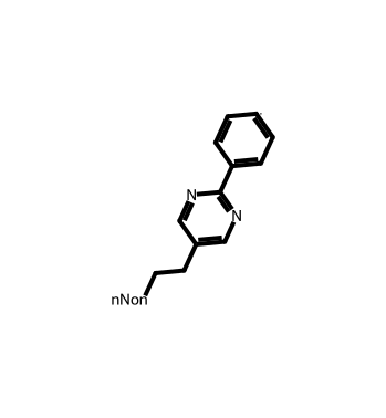 CCCCCCCCCCCc1cnc(-c2cc[c]cc2)nc1